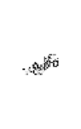 O=C(c1cccc(C(F)(F)F)c1Cl)N1CCn2c(nc(C(F)(F)F)c2-c2ccccc2)C1